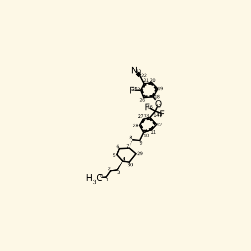 CCCC[C@H]1CC[C@H](CCc2ccc(C(F)(F)Oc3ccc(C#N)c(F)c3)cc2)CC1